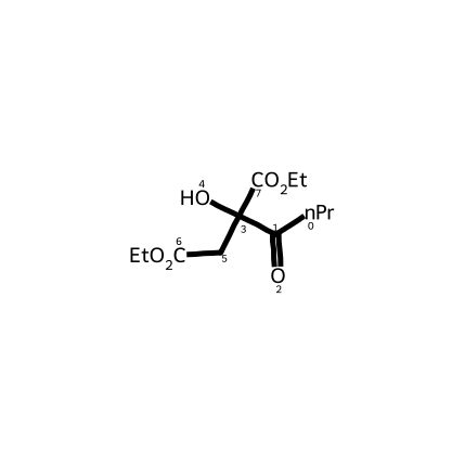 CCCC(=O)C(O)(CC(=O)OCC)C(=O)OCC